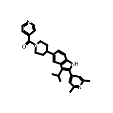 Cc1cc(-c2[nH]c3ccc(C4CCN(C(=O)c5ccncc5)CC4)cc3c2C(C)C)cc(C)n1